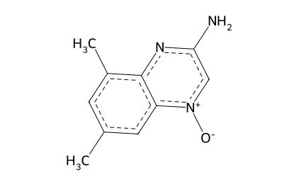 Cc1cc(C)c2nc(N)c[n+]([O-])c2c1